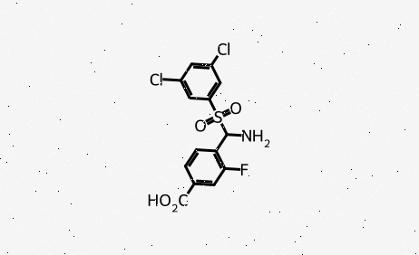 NC(c1ccc(C(=O)O)cc1F)S(=O)(=O)c1cc(Cl)cc(Cl)c1